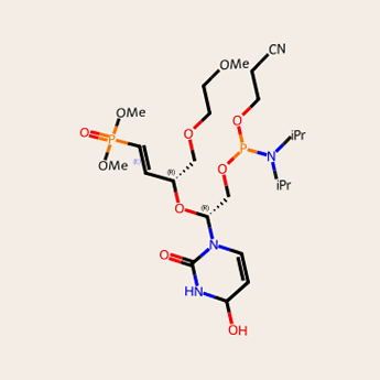 COCCOC[C@@H](/C=C/P(=O)(OC)OC)O[C@H](COP(OCCC#N)N(C(C)C)C(C)C)N1C=CC(O)NC1=O